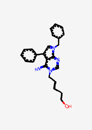 N=c1c2c(-c3ccccc3)cn(Cc3ccccc3)c2ncn1CCCCCO